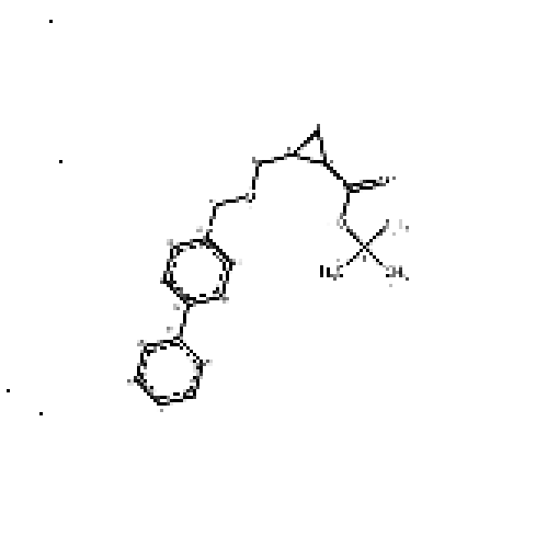 CC(C)(C)OC(=O)C1CC1COCc1ccc(-c2ccccc2)cc1